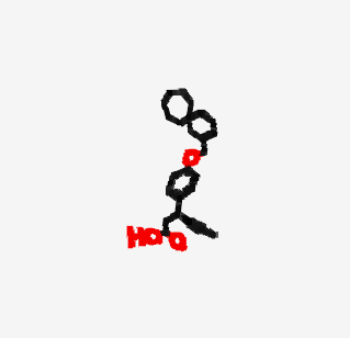 CC#C[C@@H](CC(=O)O)c1ccc(OCC2=CCCC3(CCCCCC3)C2)cc1